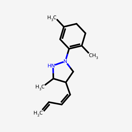 C=C/C=C\C1CN(C2=C(C)CCC(C)=C2)NC1C